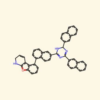 C1=Cc2c(oc3cccc(-c4cccc5cc(C6=NC(c7ccc8ccccc8c7)=NC(c7ccc8ccccc8c7)N6)ccc45)c23)NC1